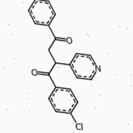 O=C(CC(C(=O)c1ccc(Cl)cc1)c1ccncc1)c1ccccc1